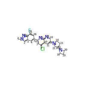 Cn1cc2cc(-c3cc(Cl)c4cc(N5CC[C@H](N6CCC6)C5)cnc4n3)cc(F)c2n1